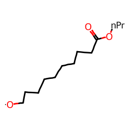 CCCOC(=O)CCCCCCCCC[O]